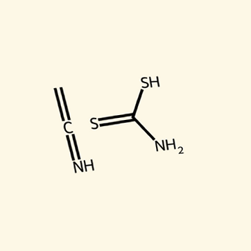 C=C=N.NC(=S)S